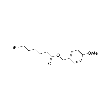 COc1ccc(COC(=O)CCCCCC(C)C)cc1